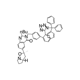 CCCCc1nc2ccc([C@@]3(C)C[C@@H]4CCCN4O3)cc2c(=O)n1Cc1ccc(-c2ccccc2-c2nnnn2C(c2ccccc2)(c2ccccc2)c2ccccc2)cc1